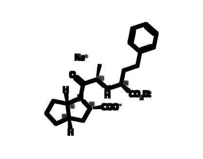 CCOC(=O)[C@H](CCc1ccccc1)N[C@@H](C)C(=O)N1[C@H](C(=O)[O-])C[C@@H]2CCC[C@@H]21.[Na+]